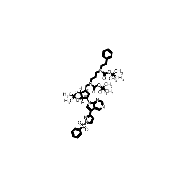 CC(C)(C)OC(=O)N(CCCN(C[C@H]1C[C@@H](n2cc(-c3ccn(S(=O)(=O)c4ccccc4)n3)c3cncnc32)[C@@H]2OC(C)(C)O[C@H]12)C(=O)OC(C)(C)C)CCc1ccccc1